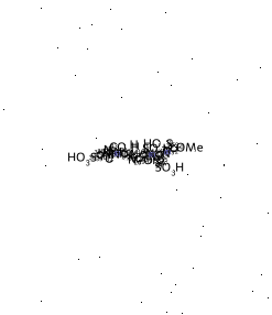 COc1ccc(/N=N/c2ccc(/N=N/c3c(S(=O)(=O)O)cc4c(ccc5nc(-c6ccc(/N=N/C7C(=O)N(c8ccc(S(=O)(=O)O)cc8)N=C7C(=O)O)cc6)[nH]c54)c3O)c3cc(S(=O)(=O)O)ccc23)c(S(=O)(=O)O)c1